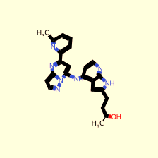 Cc1cccc(-c2cc(Nc3ccnc4[nH]c(CC[C@@H](C)O)cc34)n3nccc3n2)n1